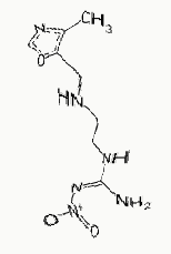 Cc1ncoc1CNCCNC(N)=N[N+](=O)[O-]